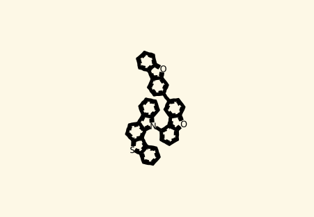 c1ccc2c(c1)oc1cc(-c3ccc4oc5cccc(-n6c7ccccc7c7ccc8sc9ccccc9c8c76)c5c4c3)ccc12